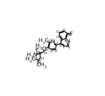 Cc1nc(-c2ccnc3c(F)cccc23)ccc1OC[C@@](C)(N)CC(C)C